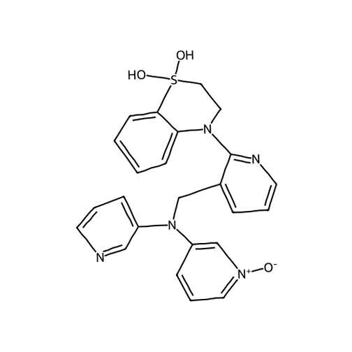 [O-][n+]1cccc(N(Cc2cccnc2N2CCS(O)(O)c3ccccc32)c2cccnc2)c1